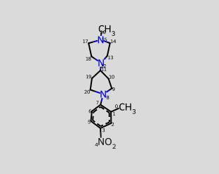 Cc1cc([N+](=O)[O-])ccc1N1CCC(N2CCN(C)CC2)CC1